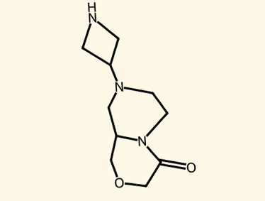 O=C1COCC2CN(C3CNC3)CCN12